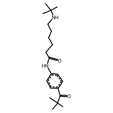 CC(C)(C)NCCCCCC(=O)Nc1ccc(C(=O)C(C)(C)C)cc1